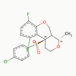 C[C@@H]1OCC[C@]2(S(=O)(=O)c3ccc(Cl)cc3)c3c(F)ccc(F)c3OCC12